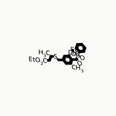 CCOC(=O)CC(C)SCc1cc(C)c(C(=O)P(=O)(OCC)c2ccccc2)c(C)c1